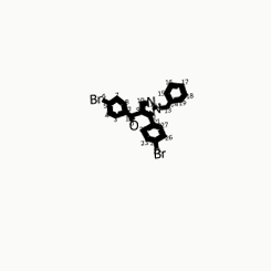 O=C(c1ccc(Br)cc1)c1cnn(Cc2ccccc2)c1-c1ccc(Br)cc1